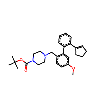 COc1ccc(CN2CCN(C(=O)OC(C)(C)C)CC2)c(-c2ccccc2C2=CCCC2)c1